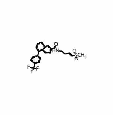 CS(=O)(=O)C=CCCNC(=O)c1ccc2c(-c3ccc(C(F)(F)F)cc3)cccc2c1